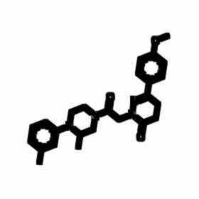 COc1ccc(C2=NN(CC(=O)N3CCN(c4cccc(C)c4)C(C)C3)C(=O)CC2)cc1